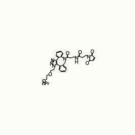 CCCOCCOCCn1nnc2c1-c1ccccc1CN(C(=O)CCNC(=O)CCN1C(=O)C=CC1=O)c1ccccc1-2